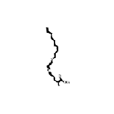 CCCCCC/C=C\CCSCC=C=CCCC(C)C(=O)O